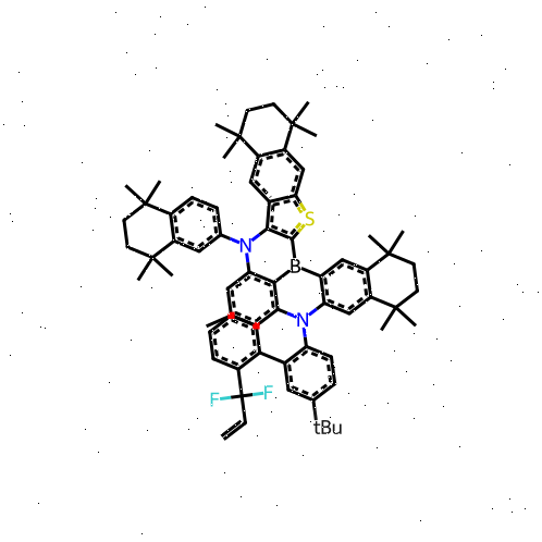 C=CC(F)(F)c1ccccc1-c1cc(C(C)(C)C)ccc1N1c2cc3c(cc2B2c4sc5cc6c(cc5c4N(c4ccc5c(c4)C(C)(C)CCC5(C)C)c4cc(C)cc1c42)C(C)(C)CCC6(C)C)C(C)(C)CCC3(C)C